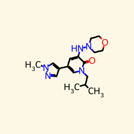 CC(C)Cn1cc(-c2cnn(C)c2)cc(NN2CCOCC2)c1=O